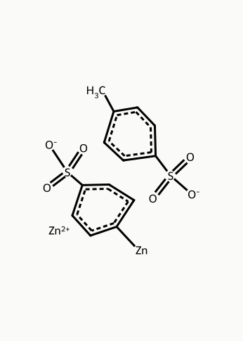 Cc1ccc(S(=O)(=O)[O-])cc1.O=S(=O)([O-])c1cc[c]([Zn])cc1.[Zn+2]